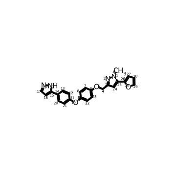 Cn1nc(COc2ccc(Oc3ccc(-c4ccn[nH]4)cc3)cc2)cc1-c1ccco1